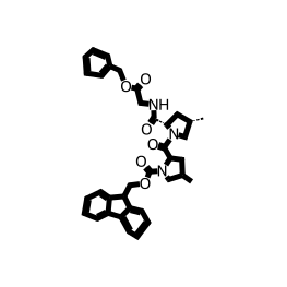 CC1CC(C(=O)N2C[C@@H](C)C[C@H]2C(=O)NCC(=O)OCc2ccccc2)N(C(=O)OCC2c3ccccc3-c3ccccc32)C1